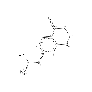 CC(C)Sc1ccc2c(c1)OCCC2=O